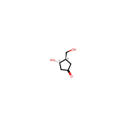 O=C1C[C@H](CO)[C@@H](O)C1